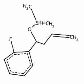 C=CCC(O[SiH](C)C)c1ccccc1F